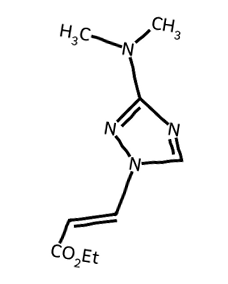 CCOC(=O)C=Cn1cnc(N(C)C)n1